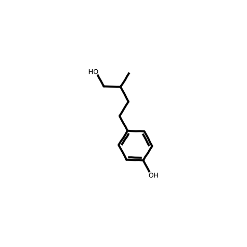 C[C](CO)CCc1ccc(O)cc1